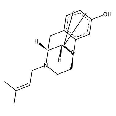 CC(C)=CCN1CC[C@]23COC(C)(C)C[C@H]2[C@H]1Cc1ccc(O)cc13